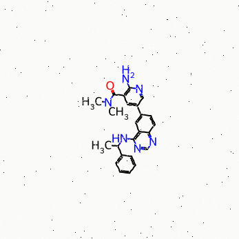 CC(Nc1ncnc2ccc(-c3cnc(N)c(C(=O)N(C)C)c3)cc12)c1ccccc1